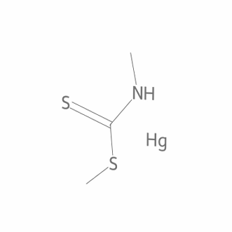 CNC(=S)SC.[Hg]